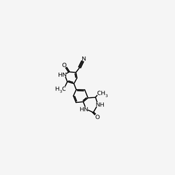 Cc1[nH]c(=O)c(C#N)cc1-c1ccc2c(c1)C(C)NC(=O)N2